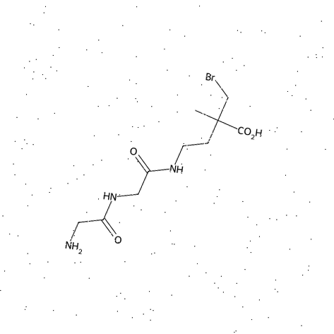 CC(CBr)(CCNC(=O)CNC(=O)CN)C(=O)O